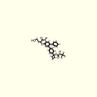 CN1C(=O)C(CCO)Oc2nc(-c3ccc(C4(OC(=O)NC(C)(C)C)CCC4)cc3)c(-c3ccccc3)cc21